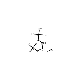 CC[C@H](CC(C)(C)C)NCC(F)(F)F